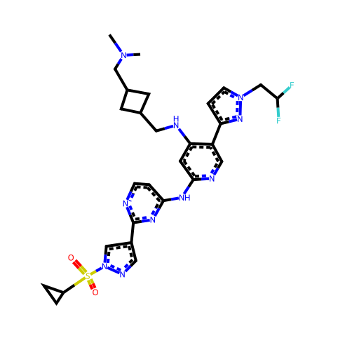 CN(C)CC1CC(CNc2cc(Nc3ccnc(-c4cnn(S(=O)(=O)C5CC5)c4)n3)ncc2-c2ccn(CC(F)F)n2)C1